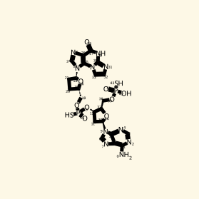 Nc1ncnc2c1ncn2[C@H]1C[C@H](OP(=O)(S)OC[C@@H]2CC[C@H](n3cnc4c(=O)[nH]c5nccn5c43)O2)[C@@H](COP(=O)(O)S)O1